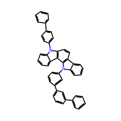 c1ccc(-c2ccc(-n3c4ccccc4c4c3ccc3c5ccccc5n(-c5cccc(-c6cccc(-c7ccccc7)c6)c5)c34)cc2)cc1